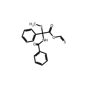 CSC(NC(=O)c1ccccc1)(C(=O)OC=S)c1ccccc1